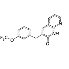 O=c1[nH]c2ncccc2cc1Cc1cccc(OC(F)(F)F)c1